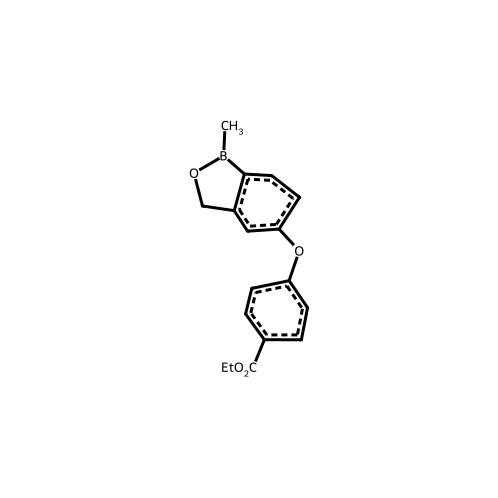 CCOC(=O)c1ccc(Oc2ccc3c(c2)COB3C)cc1